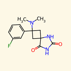 CN(C)C1(c2cccc(F)c2)CC2(C1)NC(=O)NC2=O